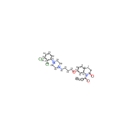 CC(C)COC(=O)N1C(=O)CCc2ccc(OCCCCN3CCN(c4cccc(Cl)c4Cl)CC3)cc21